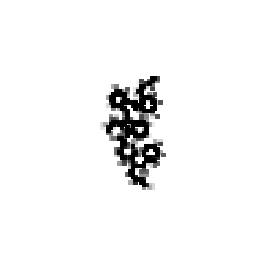 C=C/C=C\C1=C(N2c3ccccc3C2c2c(/C=C\C)n(/C=C/C=C\C(=C/C)C(/C=C\C=C)CC3=CC=CCC3)c3ccccc23)CCC=C1